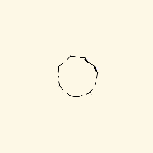 C1=C\CCCCCCCCCCCCCC/C=C/1